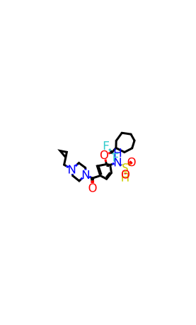 O=C(c1ccc(N[SH](=O)=O)c(OC(F)(F)C2CCCCCC2)c1)N1CCN(CC2CC2)CC1